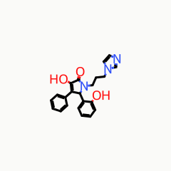 O=C1C(O)=C(c2ccccc2)C(c2ccccc2O)N1CCCn1ccnc1